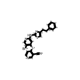 N#Cc1cnccc1Sc1cc(Nc2nc(CCc3ccccc3)cs2)ncc1Br